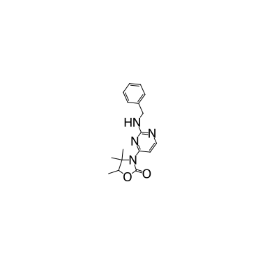 CC1OC(=O)N(c2ccnc(NCc3ccccc3)n2)C1(C)C